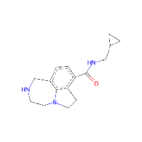 O=C(NCC1CC1)c1ccc2c3c1CCN3CCNC2